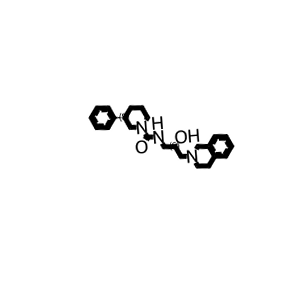 O=C(NC[C@H](O)CN1CCc2ccccc2C1)N1CCC[C@@H](c2ccccc2)C1